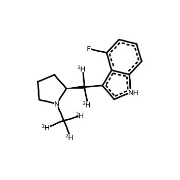 [2H]C([2H])(c1c[nH]c2cccc(F)c12)[C@@H]1CCCN1C([2H])([2H])[2H]